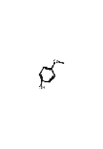 C[Se]c1ccc(O)cc1